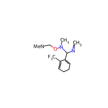 C=NC(C1=CCCC=C1C(F)(F)F)N(C)OCNC